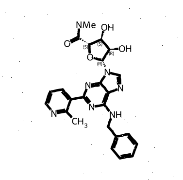 CNC(=O)[C@H]1O[C@@H](n2cnc3c(NCc4ccccc4)nc(-c4cccnc4C)nc32)[C@H](O)[C@@H]1O